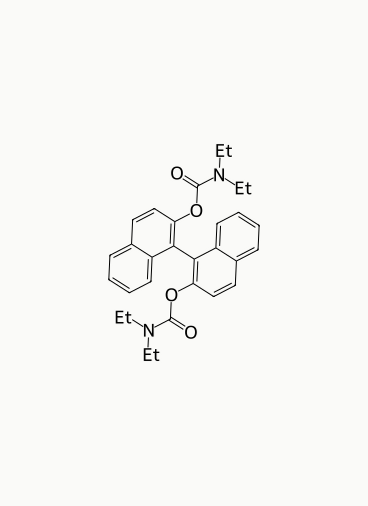 CCN(CC)C(=O)Oc1ccc2ccccc2c1-c1c(OC(=O)N(CC)CC)ccc2ccccc12